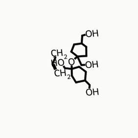 C=CC=C.OCC1CCC(CO)(OC2(CO)CCC(CO)CC2)CC1